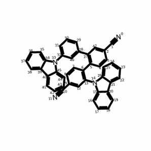 N#Cc1ccc(-c2ccc(C#N)cc2-n2c3ccccc3c3ccccc32)c(-c2cccc(-n3c4ccccc4c4ccccc43)c2)c1